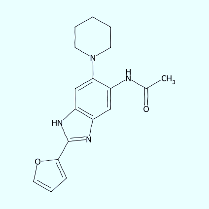 CC(=O)Nc1cc2nc(-c3ccco3)[nH]c2cc1N1CCCCC1